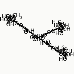 CC(=O)N[C@H]1[C@H](OCCOCCOCCOCC(=O)NCCCC[C@H](CC(=O)[C@H](CCCCNC(=O)COCCOCCOCCO[C@@H]2O[C@H](CO)[C@H](O)[C@H](O)[C@H]2NC(C)=O)NC(=O)COCCOCCOCCO[C@@H]2O[C@H](CO)[C@H](O)[C@H](O)[C@H]2NC(C)=O)C(=O)O)O[C@H](CO)[C@H](O)[C@@H]1O